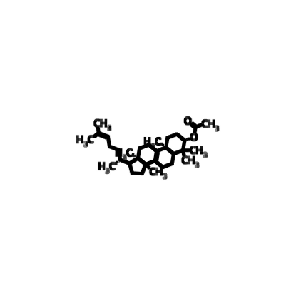 CC(=O)O[C@H]1CC[C@]2(C)C3=C(CCC2C1(C)C)[C@]1(C)CCC([C@H](C)CCC=C(C)C)[C@@]1(C)CC3